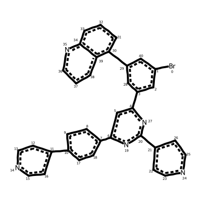 Brc1cc(-c2cc(-c3ccc(-c4ccncc4)cc3)nc(-c3ccncc3)n2)cc(-c2cccc3ncccc23)c1